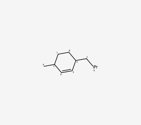 CC(C)CC1C=CC(C)CC1